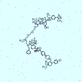 Cc1ncsc1-c1ccc([C@H](C)NC(=O)[C@@H]2C[C@@H](O)CN2C(=O)[C@@H](NC(=O)COCCOCCOCCN(C)CC[C@H](CSc2ccccc2)Nc2ccc(S(=O)(=O)NC(=O)c3ccc(N4CCN(CC5=C(c6ccc(Cl)cc6)CCC(C)(C)C5)CC4)cc3)cc2S(=O)(=O)C(F)(F)F)C(C)(C)C)cc1